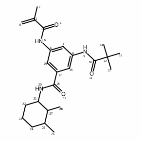 C=C(C)C(=O)Nc1cc(NC(=O)C(C)(C)C)cc(C(=O)NC2CCCC(C)C2C)c1